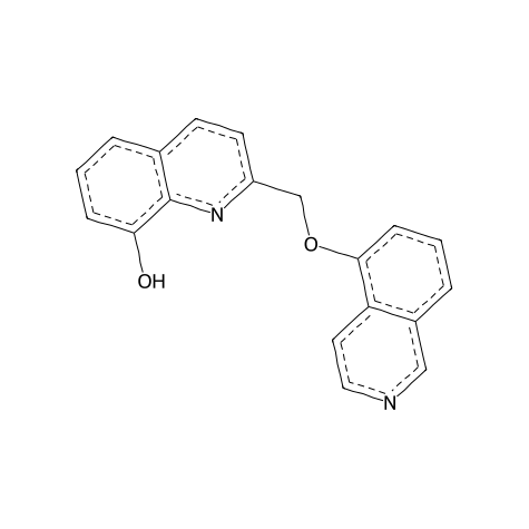 Oc1cccc2ccc(COc3cccc4cnccc34)nc12